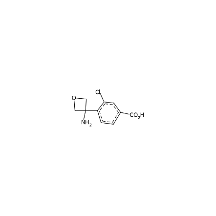 NC1(c2ccc(C(=O)O)cc2Cl)COC1